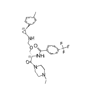 CCN1CCN(C(=O)[C@H](COCNC2C[C@H]2c2ccc(C)cc2)NC(=O)c2ccc(C(F)(F)F)cc2)CC1